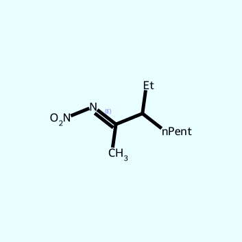 CCCCCC(CC)/C(C)=N/[N+](=O)[O-]